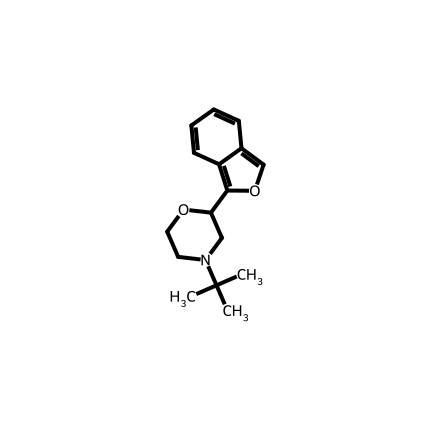 CC(C)(C)N1CCOC(c2occ3ccccc23)C1